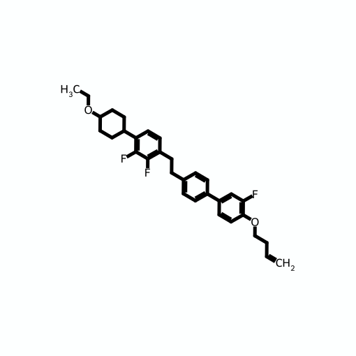 C=CCCOc1ccc(-c2ccc(CCc3ccc(C4CCC(OCC)CC4)c(F)c3F)cc2)cc1F